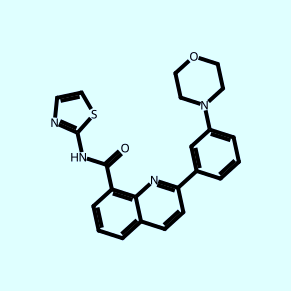 O=C(Nc1nccs1)c1cccc2ccc(-c3cccc(N4CCOCC4)c3)nc12